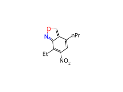 CCCc1cc([N+](=O)[O-])c(CC)c2nocc12